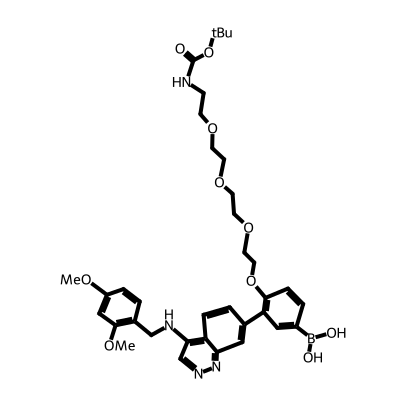 COc1ccc(CNc2cnnc3cc(-c4cc(B(O)O)ccc4OCCOCCOCCOCCNC(=O)OC(C)(C)C)ccc23)c(OC)c1